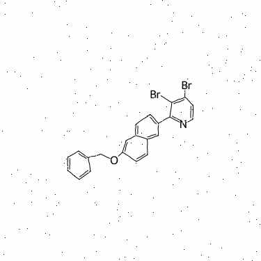 Brc1ccnc(-c2ccc3cc(OCc4ccccc4)ccc3c2)c1Br